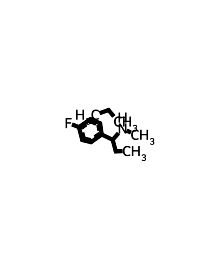 CCC.CCC(NC)c1ccc(F)cc1